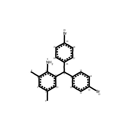 Cc1cc(C)c(N)c(C(c2ccc(Br)cc2)c2ccc(Br)cc2)c1